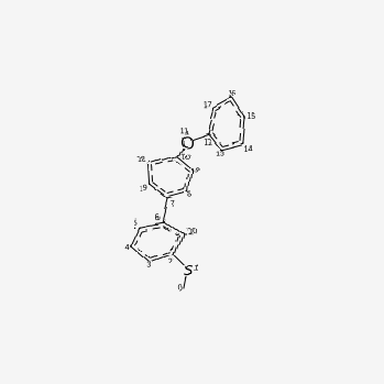 CSc1cc[c]c(-c2ccc(Oc3ccccc3)cc2)c1